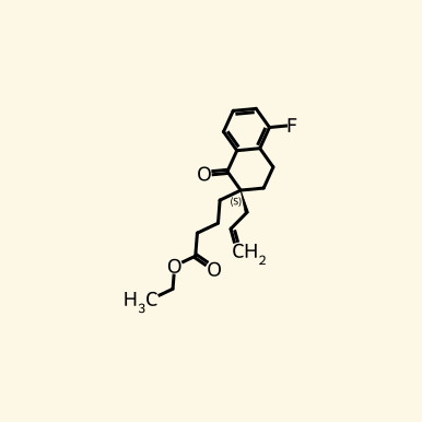 C=CC[C@]1(CCCC(=O)OCC)CCc2c(F)cccc2C1=O